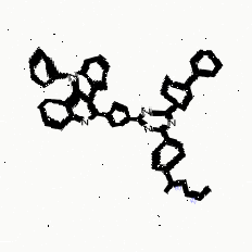 C/C=C\C=C(/C)c1ccc(-c2nc(-c3ccc(-c4ccccc4)cc3)nc(-c3ccc(-c4nc5c(c6c4c4ccccc4n6-c4ccccc4)CCC=C5)cc3)n2)cc1